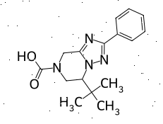 CC(C)(C)C1CN(C(=O)O)Cc2nc(-c3ccccc3)nn21